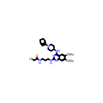 COc1cc2nc(NCCCNC(=O)CCl)nc(NC3CCN(C4CC5CCC4C5)CC3)c2cc1OC